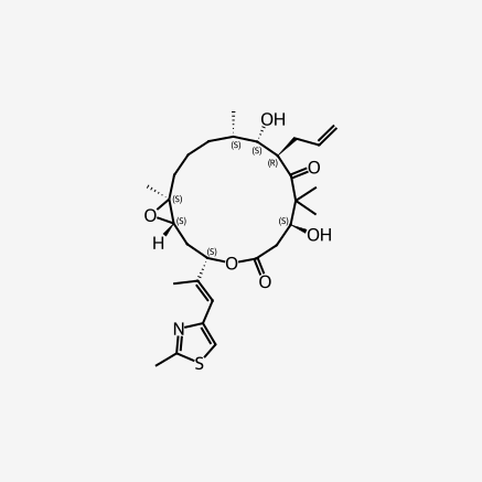 C=CC[C@H]1C(=O)C(C)(C)[C@@H](O)CC(=O)O[C@H](C(C)=Cc2csc(C)n2)C[C@@H]2O[C@@]2(C)CCC[C@H](C)[C@@H]1O